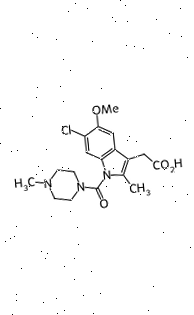 COc1cc2c(CC(=O)O)c(C)n(C(=O)N3CCN(C)CC3)c2cc1Cl